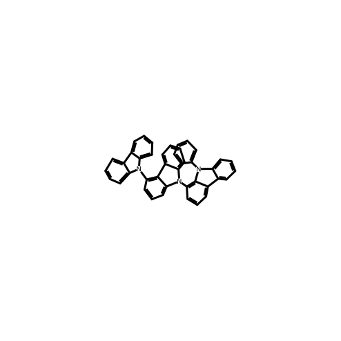 c1ccc(-n2c3ccccc3c3cccc(-n4c5ccccc5c5c(-n6c7ccccc7c7ccccc76)cccc54)c32)cc1